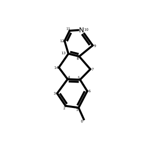 Cc1ccc2c(c1)Cc1cnccc1C2